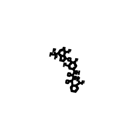 O=C(NC(=O)c1ccccc1C(F)F)Nc1cc(F)c(Oc2ccc3c(C(F)(F)F)csc(F)c2-3)c(F)c1